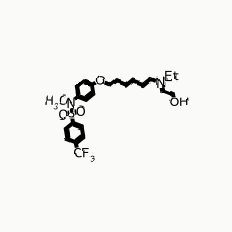 CCN(CCO)CCCCCCOc1ccc(N(C)S(=O)(=O)c2ccc(C(F)(F)F)cc2)cc1